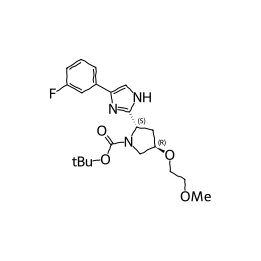 COCCO[C@@H]1C[C@@H](c2nc(-c3cccc(F)c3)c[nH]2)N(C(=O)OC(C)(C)C)C1